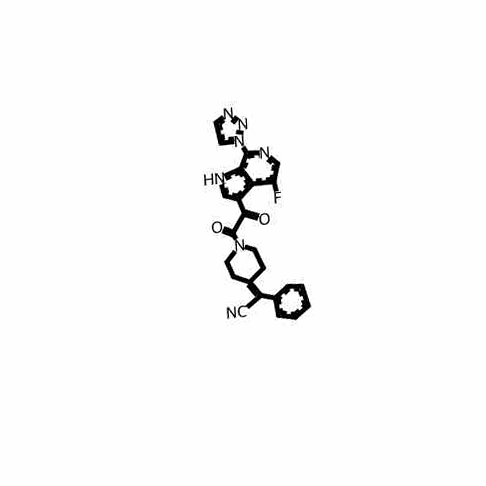 N#CC(=C1CCN(C(=O)C(=O)c2c[nH]c3c(-n4ccnn4)ncc(F)c23)CC1)c1ccccc1